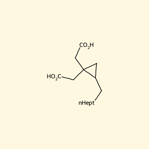 CCCCCCCCC1CC1(CC(=O)O)CC(=O)O